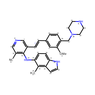 COc1cc(/C=C/c2cncc(C#N)c2Nc2ccc3[nH]ccc3c2C)ccc1CN1CCNCC1